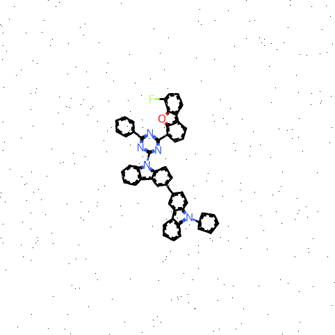 Fc1cccc2c1oc1c(-c3nc(-c4ccccc4)nc(-n4c5ccccc5c5cc(-c6ccc7c(c6)c6ccccc6n7-c6ccccc6)ccc54)n3)cccc12